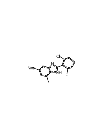 Cc1cc(C#N)cc2nc(-c3c(F)cccc3Cl)[nH]c12